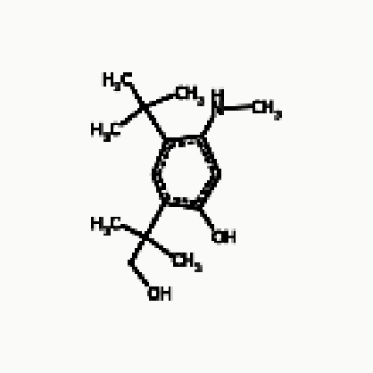 CNc1cc(O)c(C(C)(C)CO)cc1C(C)(C)C